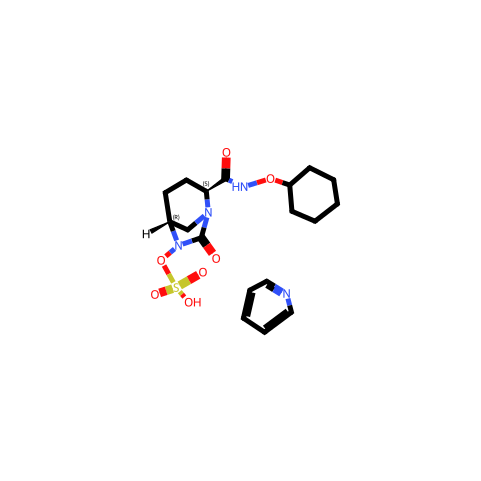 O=C(NOC1CCCCC1)[C@@H]1CC[C@@H]2CN1C(=O)N2OS(=O)(=O)O.c1ccncc1